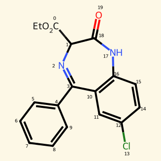 CCOC(=O)C1N=C(c2ccccc2)c2cc(Cl)ccc2NC1=O